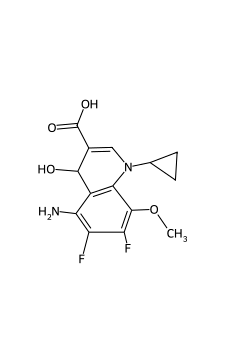 COc1c(F)c(F)c(N)c2c1N(C1CC1)C=C(C(=O)O)C2O